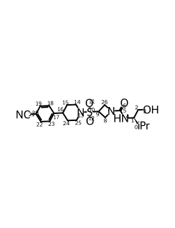 CC(C)[C@H](CO)NC(=O)N1CC(S(=O)(=O)N2CCC(c3ccc(C#N)cc3)CC2)C1